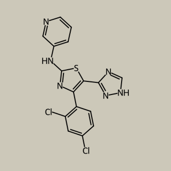 Clc1ccc(-c2nc(Nc3cccnc3)sc2-c2nc[nH]n2)c(Cl)c1